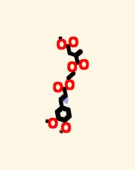 C=C(CC(=O)OC)C(=O)OCCOC(=O)/C=C/c1ccc(OC)c(OC)c1